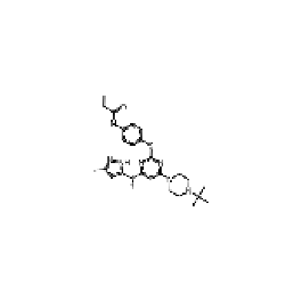 CCC(=O)Nc1ccc(Sc2nc(Nc3cc(C)n[nH]3)cc(N3CCN(C(C)(C)C)CC3)n2)cc1